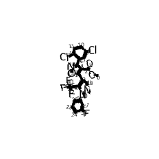 COC(=O)c1c(-c2cc(Cl)ccc2Cl)noc1-c1cnn(-c2cccc(F)c2)c1C(F)(F)F